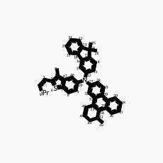 Cc1c(/C=C\C(C)C)sc2ccc(N(c3ccc4c(c3)-c3ccccc3C4(C)C)c3ccc4c(c3)c3c(c5ccccc54)C(C)CC=C3)cc12